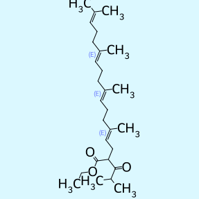 CCOC(=O)C(C/C=C(\C)CC/C=C(\C)CC/C=C(\C)CCC=C(C)C)C(=O)C(C)C